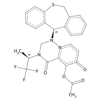 CC(=O)Oc1c2n(ccc1=O)N([C@@H]1c3ccccc3CSc3ccccc31)CN([C@H](C)C(F)(F)F)C2=O